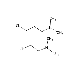 CN(C)CCCCl.CN(C)CCCl